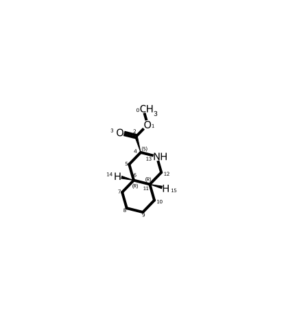 COC(=O)[C@@H]1C[C@H]2CCCC[C@H]2CN1